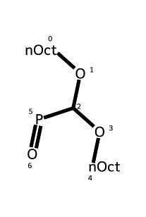 CCCCCCCCOC(OCCCCCCCC)P=O